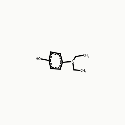 C[CH2][Al]([CH2]C)[c]1ccc(O)cc1